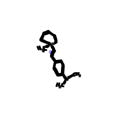 CN(C)c1ccc(/C=C/[N+]2(C)C=CC=CC2)cc1